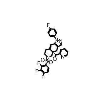 O=C(c1ccccn1)[C@]12Cc3cnn(-c4ccc(F)cc4)c3C=C1CCN(S(=O)(=O)c1ccc(F)c(F)c1F)C2